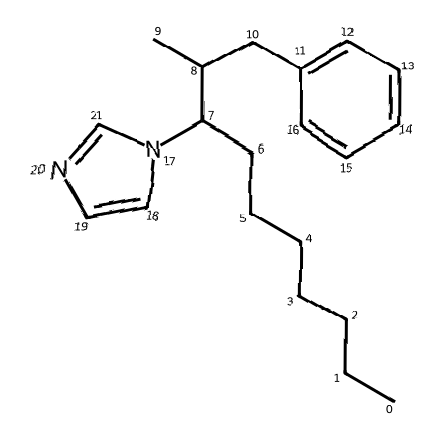 CCCCCCCC(C(C)Cc1ccccc1)n1ccnc1